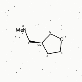 CNC[C@@H]1CCOC1